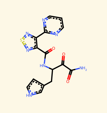 NC(=O)C(=O)C(Cc1cc[nH]c1)NC(=O)c1nsnc1-c1ncccn1